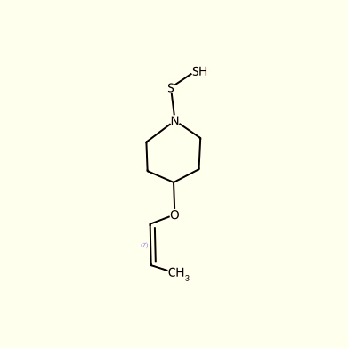 C/C=C\OC1CCN(SS)CC1